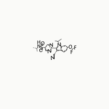 CC(C)NS(=O)(=O)c1cnc(-c2c(C#N)c3ccc(OC(F)F)cc3n2C(C)C)nc1